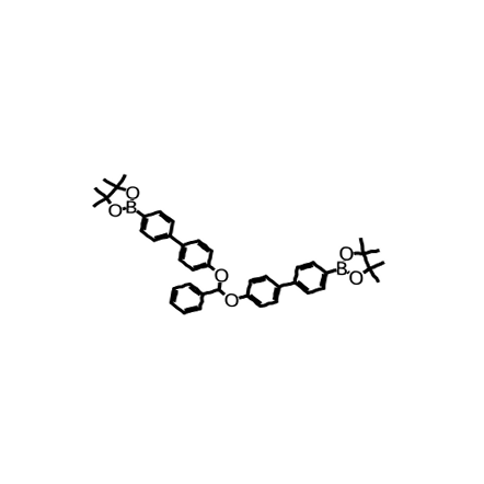 CC1(C)OB(c2ccc(-c3ccc(OC(Oc4ccc(-c5ccc(B6OC(C)(C)C(C)(C)O6)cc5)cc4)c4ccccc4)cc3)cc2)OC1(C)C